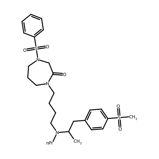 CCCN(CCCCN1CCCN(S(=O)(=O)c2ccccc2)CC1=O)C(C)Cc1ccc(S(C)(=O)=O)cc1